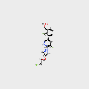 OCc1cccc(-c2cnc(N3CC(OCCF)C3)c(F)c2)c1F